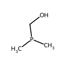 CP(C)CO